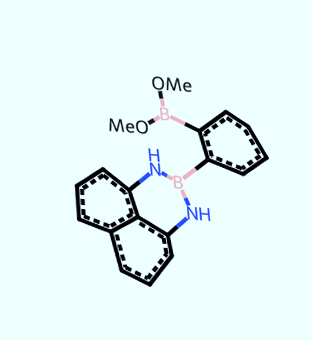 COB(OC)c1ccccc1B1Nc2cccc3cccc(c23)N1